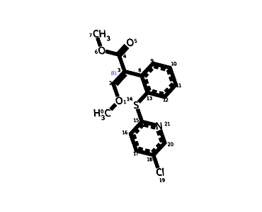 CO/C=C(/C(=O)OC)c1ccccc1Sc1ccc(Cl)cn1